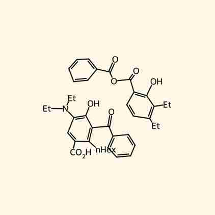 CCCCCCc1c(C(=O)O)cc(N(CC)CC)c(O)c1C(=O)c1ccccc1.CCc1ccc(C(=O)OC(=O)c2ccccc2)c(O)c1CC